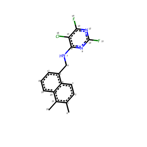 Cc1ccc2c(CNc3nc(F)nc(F)c3Cl)cccc2c1C